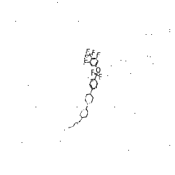 CCCC[C@H]1CC[C@H]([C@H]2CC[C@H](c3ccc(C(F)(F)Oc4cc(F)c(C(F)(F)F)c(F)c4)cc3)CC2)CC1